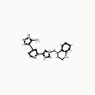 FC(F)(F)c1[nH]nnc1-c1ccnc(-c2cn(C[C@@H]3CCOc4ccccc43)cn2)c1